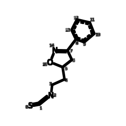 S=C=NCCC1CC(c2ccccc2)=NO1